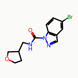 O=C(NCC1CCOC1)n1ncc2cc(Br)ccc21